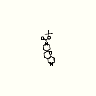 CC(C)(C)OC(=O)N1CCC2(CCc3cnccc3O2)CC1